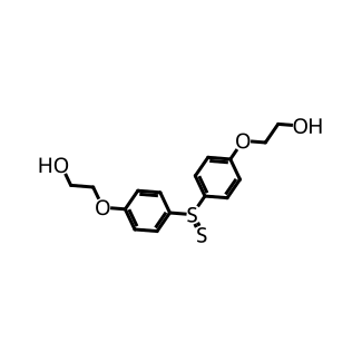 OCCOc1ccc(S(=S)c2ccc(OCCO)cc2)cc1